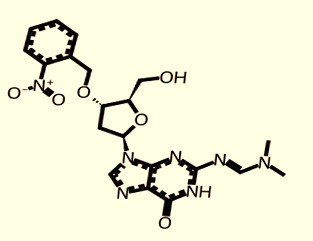 CN(C)C=Nc1nc2c(ncn2[C@H]2C[C@H](OCc3ccccc3[N+](=O)[O-])[C@@H](CO)O2)c(=O)[nH]1